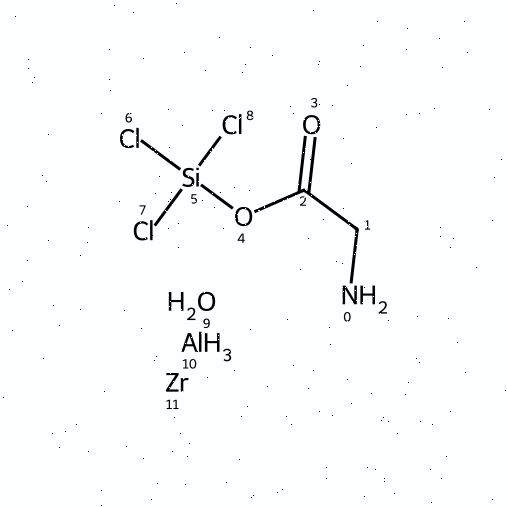 NCC(=O)O[Si](Cl)(Cl)Cl.O.[AlH3].[Zr]